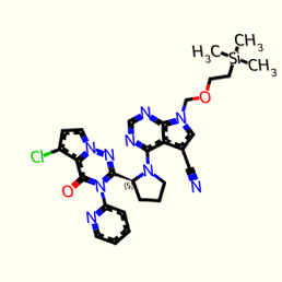 C[Si](C)(C)CCOCn1cc(C#N)c2c(N3CCC[C@H]3c3nn4ccc(Cl)c4c(=O)n3-c3ccccn3)ncnc21